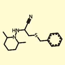 CC1CCCC(C)N1NC(C#N)CSCc1ccccc1